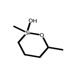 CC1CCC[Si](C)(O)O1